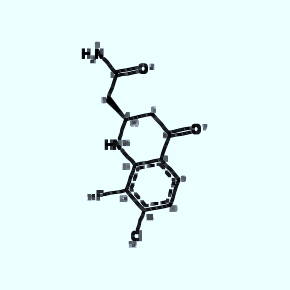 NC(=O)C[C@H]1CC(=O)c2ccc(Cl)c(F)c2N1